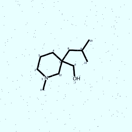 [CH2]N1CCCC(CO)(CC(C)C)C1